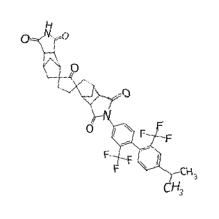 CC(C)c1ccc(-c2ccc(N3C(=O)C4C5CC(C4C3=O)C3(CCC4(CC6CC4C4C(=O)NC(=O)C64)C3=O)C5)cc2C(F)(F)F)c(C(F)(F)F)c1